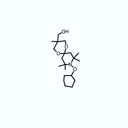 CC1(CO)COC2(CC(C)(C)N(OC3CCCCC3)C(C)(C)C2)OC1